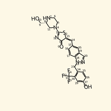 O=C1N=C(N2CCN[C@@H](CO)C2)S/C1=C/c1ccc2c(cnn2Cc2ccc(O)cc2C(F)(F)F)c1